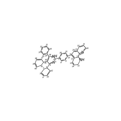 C1=CCC(C2=NC(c3ccc(C4=C5C=CCNC5C5N=CC=CC5=C4)cc3)NC(c3ccccc3)=C2C2C=CC=CC2)C=C1